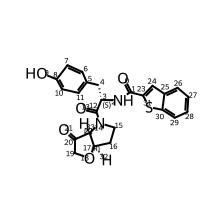 O=C(N[C@@H](Cc1ccc(O)cc1)C(=O)N1CC[C@H]2OCC(=O)[C@H]21)c1cc2ccccc2s1